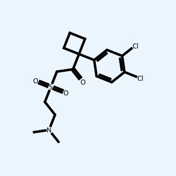 CN(C)CCS(=O)(=O)CC(=O)C1(c2ccc(Cl)c(Cl)c2)CCC1